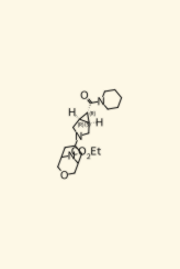 CCOC(=O)N1C2COCC1CC(N1C[C@@H]3[C@H](C1)[C@H]3C(=O)N1CCCCC1)C2